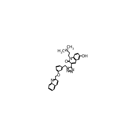 CN(C)CCn1c(=O)c(-c2nnnn2Cc2cccc(OCc3ccc4ccccc4n3)c2)cc2cc(O)ccc21